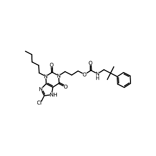 CCCCCn1c(=O)n(CCCOC(=O)NCC(C)(C)c2ccccc2)c(=O)c2[nH]c(Cl)nc21